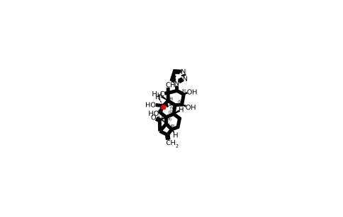 C=C1C2C(=O)[C@]34[C@H]2[C@H]1CC[C@H]3[C@@]12CO[C@@]4(O)[C@@H](O)[C@@H]1C(C)(C)C(n1ccnn1)[C@@H](O)[C@H]2O